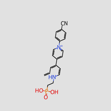 C=C/C=C(\C=C/NCCP(=O)(O)O)c1cc[n+](-c2ccc(C#N)cc2)cc1